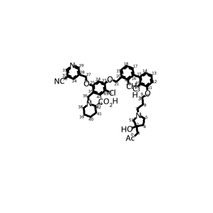 CC(=O)CC1(O)CCN(CCCOc2cccc(-c3cccc(COc4cc(OCc5cncc(C#N)c5)c(CN5CCCC[C@H]5C(=O)O)cc4Cl)c3C)c2C)C1